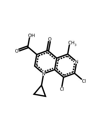 Cc1nc(Cl)c(Cl)c2c1c(=O)c(C(=O)O)cn2C1CC1